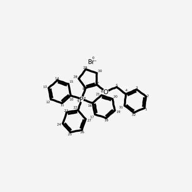 [Br-].c1ccc(COC2=C([P+](c3ccccc3)(c3ccccc3)c3ccccc3)CCC2)cc1